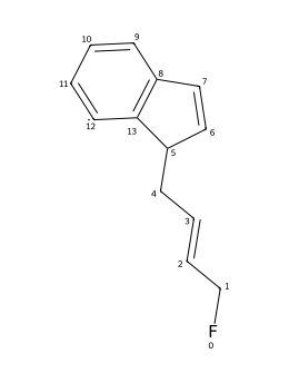 FCC=CCC1C=Cc2ccc[c]c21